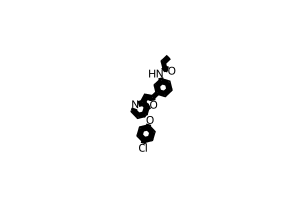 C=CC(=O)Nc1cccc(-c2cc3nccc(Oc4ccc(Cl)cc4)c3o2)c1